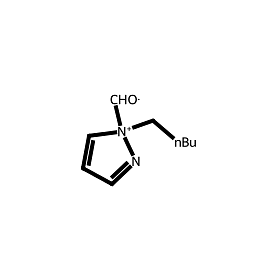 CCCCC[N+]1([C]=O)C=CC=N1